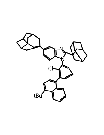 CC(C)(C)c1ccc(-c2cccc(-n3c(C45CC6CC(CC(C6)C4)C5)nc4cc(C56CC7CC8CC(C5)C8(C7)C6)ccc43)c2Cl)c2ccccc12